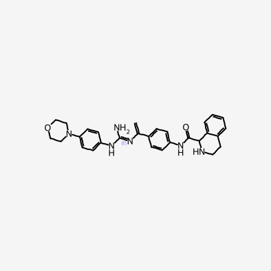 C=C(/N=C(\N)Nc1ccc(N2CCOCC2)cc1)c1ccc(NC(=O)C2NCCc3ccccc32)cc1